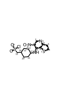 O=[N+]([O-])c1cnc2ccsc2c1NC1CCC(CS(=O)(=O)Cl)CC1